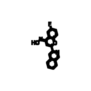 ON=c1cc(-c2cc3ccccc3cn2)oc2ccc(F)cc12